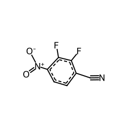 N#Cc1ccc([N+](=O)[O-])c(F)c1F